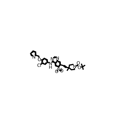 CC1(C#Cc2cc3ncnc(Nc4ccc(OCc5ccccn5)c(Cl)c4)c3cc2[N+](=O)[O-])CCN(C(=O)OC(C)(C)C)CC1